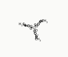 Cn1cc[n+](-c2ccc(OC(=O)C3CC(C(=O)Oc4ccc(-n5cc[n+](C)c5)cc4)CC(C(=O)Oc4ccc(-[n+]5ccn(C)c5)cc4)C3)cc2)c1